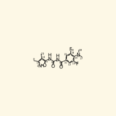 Cc1noc(NC(=O)NC(=O)c2cc(F)c(N(C)C)c(F)c2)c1C